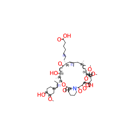 CO[C@H]1C[C@@H](C)C/C(C)=C/[C@@H](C/C=C/CCCC(=O)O)C(=O)C[C@H](O)[C@@H](C)[C@@H](/C(C)=C/[C@@H]2CC[C@@H](O)[C@H](OC)C2)OC(=O)[C@@H]2CCCCN2C(=O)C(=O)[C@]2(O)O[C@H]1[C@@H](OC)C[C@H]2C